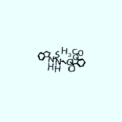 CC(=O)Oc1ccccc1C(=O)OCCNC(=S)N[C@H]1CCc2ccccc21